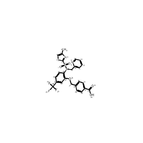 Cc1csc(S(=O)(=O)N(Cc2ccccn2)c2ccc(C(F)(F)F)cc2OCc2ccc(C(=O)O)cc2)n1